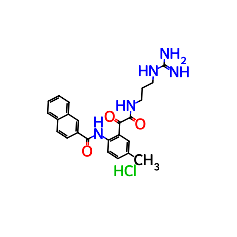 Cc1ccc(NC(=O)c2ccc3ccccc3c2)c(C(=O)C(=O)NCCCNC(=N)N)c1.Cl